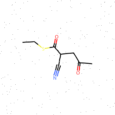 CCSC(=O)C(C#N)CC(C)=O